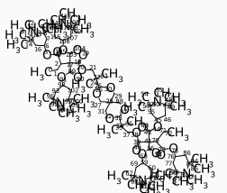 CCC(C(=O)OC1CC(C)(C)N(C)C(C)(C)C1)C(C(=O)OCC(C)(C)C1OCC2(CO1)COC(C(C)(C)COC(=O)C(C(=O)OC1CC(C)(C)N(C)C(C)(C)C1)(C(=O)OC1CC(C)(C)N(C)C(C)(C)C1)C(CC)C(=O)OC1CC(C)(C)N(C)C(C)(C)C1)OC2)(C(=O)OC1CC(C)(C)N(C)C(C)(C)C1)C(=O)OC1CC(C)(C)N(C)C(C)(C)C1